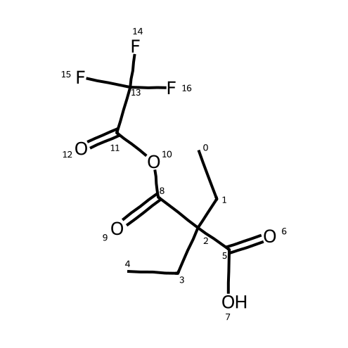 CCC(CC)(C(=O)O)C(=O)OC(=O)C(F)(F)F